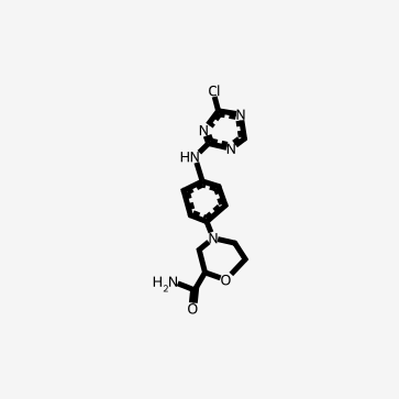 NC(=O)C1CN(c2ccc(Nc3ncnc(Cl)n3)cc2)CCO1